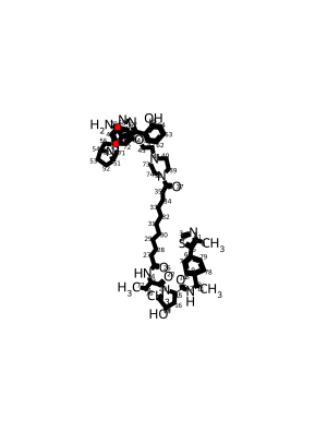 Cc1ncsc1-c1ccc(C(C)NC(=O)[C@@H]2C[C@@H](O)CN2C(=O)C(NC(=O)CCCCCCCCCC(=O)N2CCN(CCOc3cccc(N4C5CCC4CN(c4cc(-c6ccccc6O)nnc4N)C5)c3)CC2)C(C)C)cc1